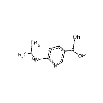 CC(C)Nc1ccc(B(O)O)cn1